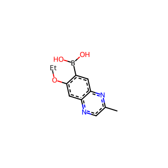 CCOc1cc2ncc(C)nc2cc1B(O)O